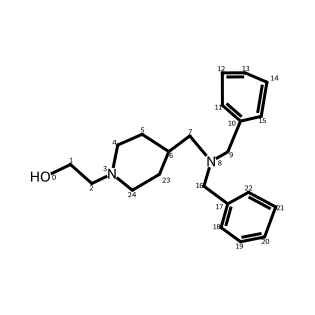 OCCN1CCC(CN(Cc2ccccc2)Cc2ccccc2)CC1